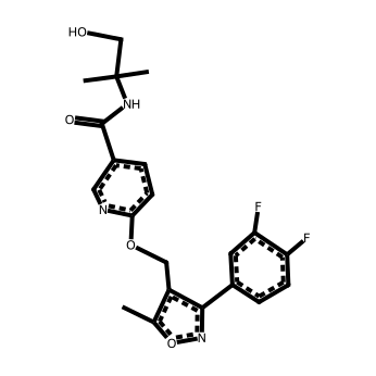 Cc1onc(-c2ccc(F)c(F)c2)c1COc1ccc(C(=O)NC(C)(C)CO)cn1